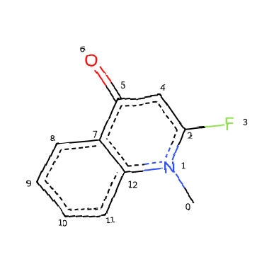 Cn1c(F)cc(=O)c2ccccc21